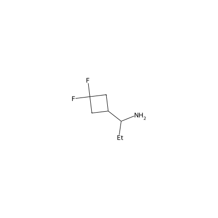 CCC(N)C1CC(F)(F)C1